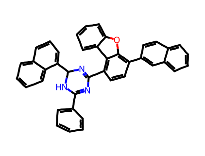 c1ccc(C2=NC(c3ccc(-c4ccc5ccccc5c4)c4oc5ccccc5c34)=NC(c3cccc4ccccc34)N2)cc1